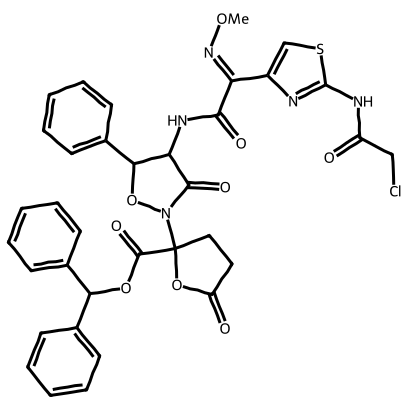 CON=C(C(=O)NC1C(=O)N(C2(C(=O)OC(c3ccccc3)c3ccccc3)CCC(=O)O2)OC1c1ccccc1)c1csc(NC(=O)CCl)n1